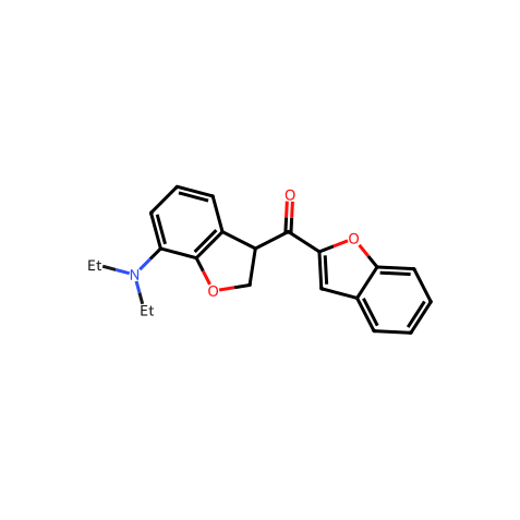 CCN(CC)c1cccc2c1OCC2C(=O)c1cc2ccccc2o1